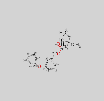 C=CC(C)(C)CC(=O)OCc1cccc(Oc2ccccc2)c1